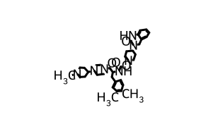 Cc1ccc(CC(NC(=O)ON2CCC(N3Cc4ccccc4NC3=O)CC2)C(=O)N2CCN(C3CCN(C)CC3)CC2)cc1C